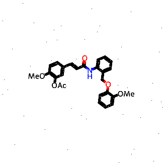 COc1ccccc1OCc1ccccc1NC(=O)/C=C/c1ccc(OC)c(OC(C)=O)c1